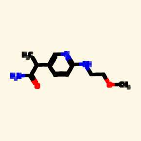 COCCNc1ccc(C(C)C(N)=O)cn1